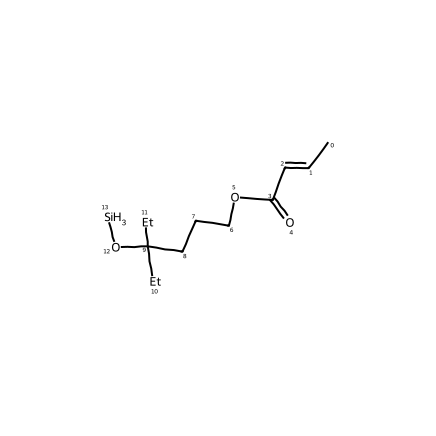 CC=CC(=O)OCCCC(CC)(CC)O[SiH3]